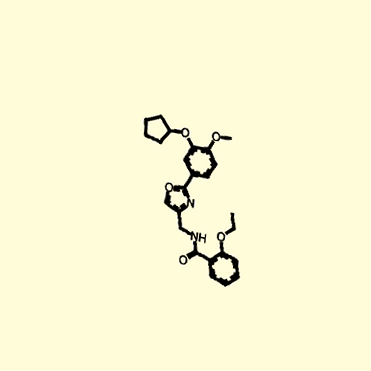 CCOc1ccccc1C(=O)NCc1coc(-c2ccc(OC)c(OC3CCCC3)c2)n1